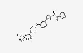 CC(C)(C)OC(=O)N1CCC(Oc2cccc(-c3ccc(C(=O)Nc4ccccc4)o3)c2)CC1